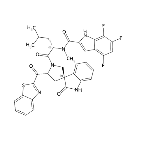 CC(C)C[C@@H](C(=O)N1C[C@]2(CC1C(=O)c1nc3ccccc3s1)C(=O)Nc1ccccc12)N(C)C(=O)c1cc2c(F)cc(F)c(F)c2[nH]1